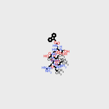 CC[C@H](C)[C@H](NC(=O)[C@@H](CCCNC(=N)N)NC(=O)[C@H](CC(C)C)NC(=O)[C@@H](N)[C@H](O)C(C)C)C(=O)N[C@H](C(=O)NCC(=O)N[C@@H](CNC(=O)OCC1c2ccccc2-c2ccccc21)C(=O)N[C@@H](CO)C(=O)O)[C@H](C)O